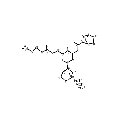 CC(CC(CC(C)C1CC2CCC1C2)NCCCNCCCN)C1CC2CCC1C2.Cl.Cl.Cl